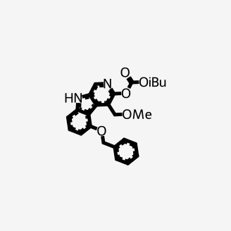 COCc1c(OC(=O)OCC(C)C)ncc2[nH]c3cccc(OCc4ccccc4)c3c12